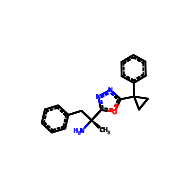 C[C@@](N)(Cc1ccccc1)c1nnc(C2(c3ccccc3)CC2)o1